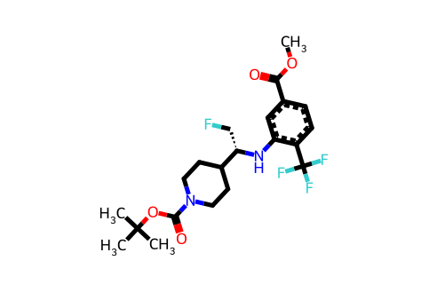 COC(=O)c1ccc(C(F)(F)F)c(N[C@@H](CF)C2CCN(C(=O)OC(C)(C)C)CC2)c1